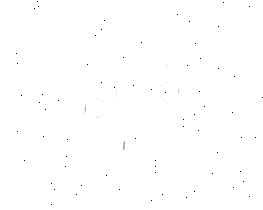 C=CCCc1c(Cl)c(O)cc(O)c1C(=O)OCCc1c(OC)c(OC)cc([N+](=O)[O-])c1OC